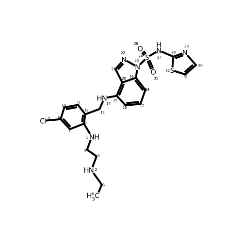 CCNCCNc1cc(Cl)ccc1CNc1cccc2c1cnn2S(=O)(=O)Nc1nccs1